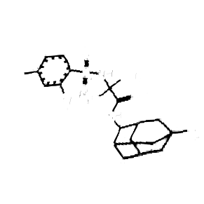 CC(C)(NS(=O)(=O)c1ccc(F)cc1Cl)C(=O)NC1C2CC3CC1CC(O)(C3)C2